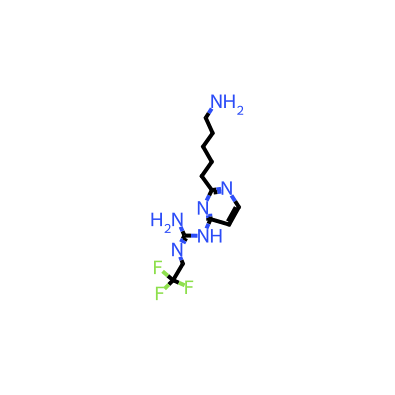 NCCCCCc1nccc(N/C(N)=N\CC(F)(F)F)n1